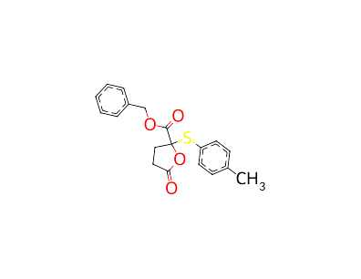 Cc1ccc(SC2(C(=O)OCc3ccccc3)CCC(=O)O2)cc1